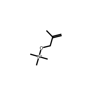 C=C(C)CO[N+](C)(C)C